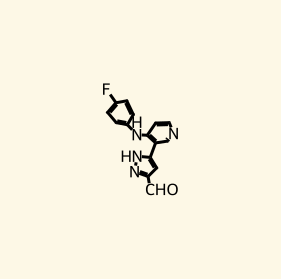 O=Cc1cc(-c2cnccc2Nc2ccc(F)cc2)[nH]n1